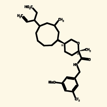 C=CC(CC(=O)O)C1CCCCC([C@@H]2CC[C@](C)(C(=O)NCc3cc(OC)cc(C(F)(F)F)c3)OC2)CC(C)C1